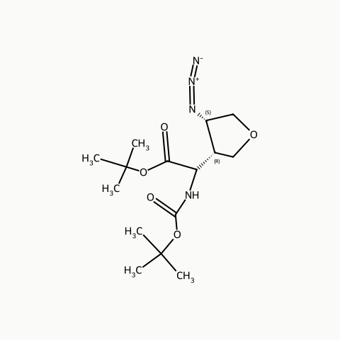 CC(C)(C)OC(=O)NC(C(=O)OC(C)(C)C)[C@H]1COC[C@H]1N=[N+]=[N-]